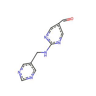 O=Cc1cnc(NCc2cncnc2)nc1